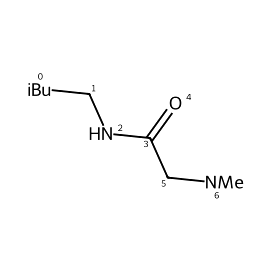 CCC(C)CNC(=O)CNC